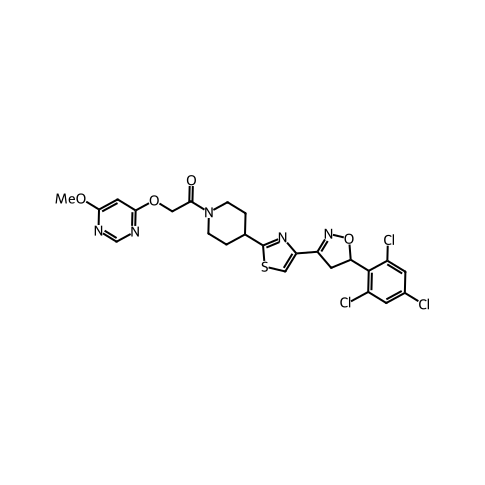 COc1cc(OCC(=O)N2CCC(c3nc(C4=NOC(c5c(Cl)cc(Cl)cc5Cl)C4)cs3)CC2)ncn1